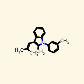 CC(C)=Cc1c(C)n(-c2cccc(C)c2)c2ccccc12